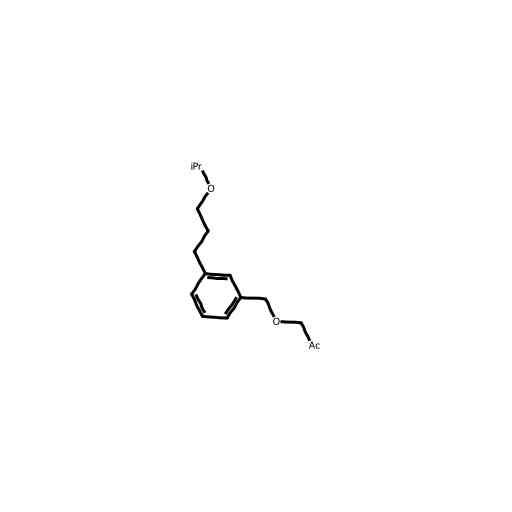 CC(=O)COCc1cccc(CCCOC(C)C)c1